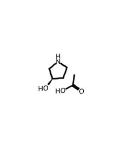 CC(=O)O.O[C@@H]1CCNC1